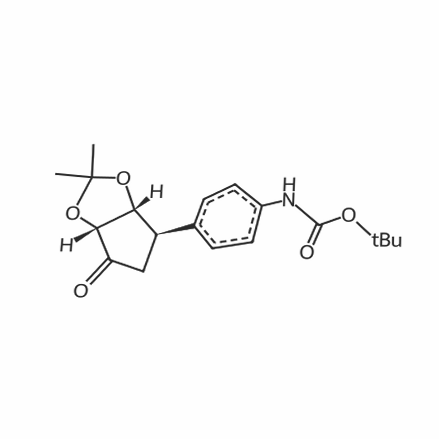 CC(C)(C)OC(=O)Nc1ccc([C@H]2CC(=O)[C@@H]3OC(C)(C)O[C@H]23)cc1